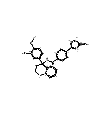 O=C(NC1(c2ccc(OC(F)(F)F)c(F)c2)CCOc2cccnc21)c1ccc(-c2noc(=O)[nH]2)cn1